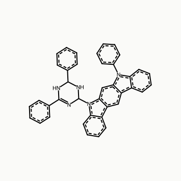 c1ccc(C2=NC(n3c4ccccc4c4cc5c6ccccc6n(-c6ccccc6)c5cc43)NC(c3ccccc3)N2)cc1